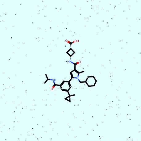 Cc1c(C(=O)N[C@H]2C[C@H](C(=O)O)C2)cc(-c2cc(C(=O)NC(C)C)cc(C3(C)CC3)c2)n1CC1CCCCC1